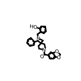 O=C(c1ccc2c(c1)OCO2)N1CCC2(CC1)CN(Cc1ccccc1O)C2c1ccccc1